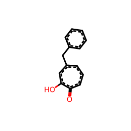 O=c1cccc(Cc2ccccc2)cc1O